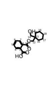 O=C(O)c1ccccc1C(=O)OCC1(CO)CCCCC1